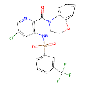 O=C(c1ncc(Cl)cc1NS(=O)(=O)c1cccc(C(F)(F)F)c1)N1CCOc2ccccc21